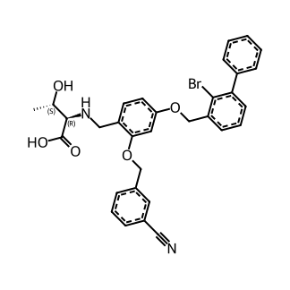 C[C@H](O)[C@@H](NCc1ccc(OCc2cccc(-c3ccccc3)c2Br)cc1OCc1cccc(C#N)c1)C(=O)O